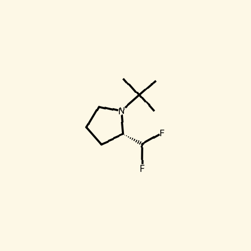 CC(C)(C)N1CCC[C@H]1C(F)F